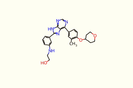 Cc1cc(-c2ncnc3[nH]c(-c4cccc(NCCO)c4)nc23)ccc1OC1CCOCC1